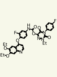 CCOc1cc2nccc(Oc3ccc(NC(=O)Oc4nn(CC)c(=O)n(-c5ccc(F)cc5)c4=O)cc3F)c2cc1OCC